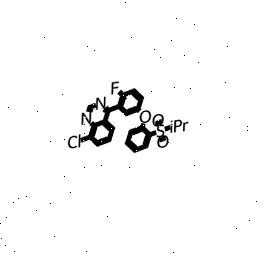 CC(C)S(=O)(=O)c1ccccc1Oc1ccc(F)c(-c2ncnc3c(Cl)cccc23)c1